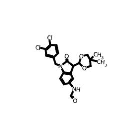 CC1(C)COC(C2C(=O)N(Cc3ccc(Cl)c(Cl)c3)c3ccc(NC=O)cc32)OC1